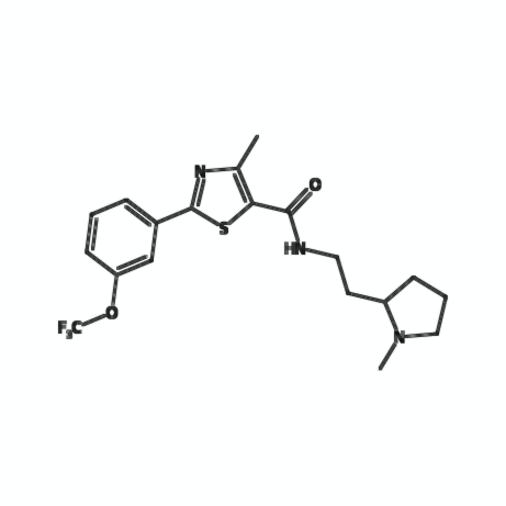 Cc1nc(-c2cccc(OC(F)(F)F)c2)sc1C(=O)NCCC1CCCN1C